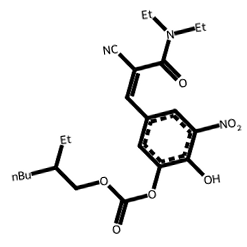 CCCCC(CC)COC(=O)Oc1cc(C=C(C#N)C(=O)N(CC)CC)cc([N+](=O)[O-])c1O